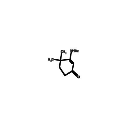 CC(=O)NC1=CC(=O)CCC1(C)C